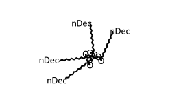 CCCCCCCCCCCCCCCCCCCCCC(=O)OCC(COC(=O)CCCCCCCCCCCCCCCCCCCCC)(COC(=O)CCCCCCCCCCCCCCCCCCCCC)OC(=O)CCCCCCCCCCCCCCCCCCCCC